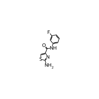 Nc1nc(C(=O)Nc2cccc(F)c2)cs1